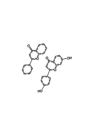 O=c1cc(-c2ccc(O)cc2)oc2cc(O)ccc12.O=c1cc(-c2ccccc2)oc2ccccc12